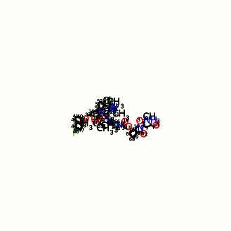 CNC(=O)C(CCC=O)N1Cc2c(OCC(=O)N3CCC4(CN(CCn5c(C(=O)OC(C)(C)C)c(CCCOc6cccc7cc(F)ccc67)c6ccc(Cl)c(-c7c(C)nn(C)c7C)c65)C4)C3)cccc2C1=O